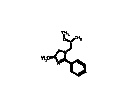 COC(C)CN1CC(C)N=C1c1ccccc1